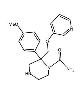 COc1ccc(C2(COc3cccnc3)CNCCN2C(N)=O)cc1